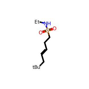 CCNS(=O)(=O)CC/C=C/CC(C)(C)C